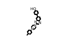 CC1C=CC(N2CCN(c3cnc4ccc(-c5ccc(O)cc5)cc4n3)CC2)=CC1